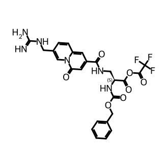 N=C(N)NCc1ccc2cc(C(=O)NC[C@H](NC(=O)OCc3ccccc3)C(=O)OC(=O)C(F)(F)F)cc(=O)n2c1